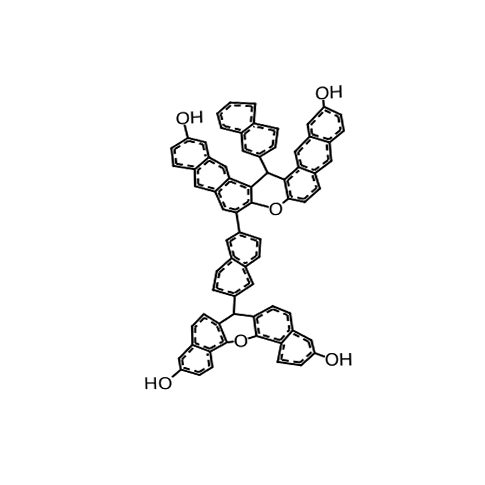 Oc1ccc2cc3ccc4c(c3cc2c1)C(c1ccc2ccccc2c1)c1c(c(-c2ccc3cc(C5c6ccc7cc(O)ccc7c6Oc6c5ccc5cc(O)ccc65)ccc3c2)cc2cc3ccc(O)cc3cc12)O4